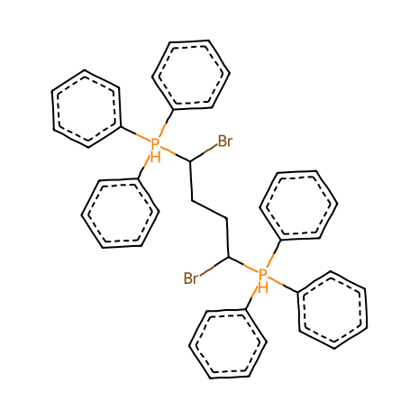 BrC(CCC(Br)[PH](c1ccccc1)(c1ccccc1)c1ccccc1)[PH](c1ccccc1)(c1ccccc1)c1ccccc1